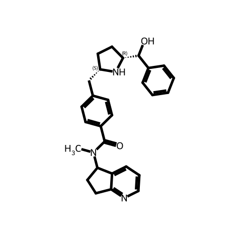 CN(C(=O)c1ccc(C[C@@H]2CC[C@H](C(O)c3ccccc3)N2)cc1)C1CCc2ncccc21